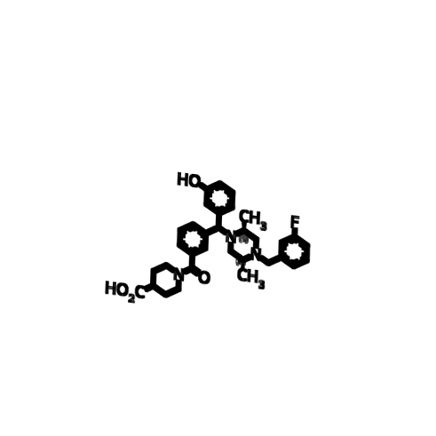 C[C@@H]1CN(C(c2cccc(O)c2)c2cccc(C(=O)N3CCC(C(=O)O)CC3)c2)[C@@H](C)CN1Cc1cccc(F)c1